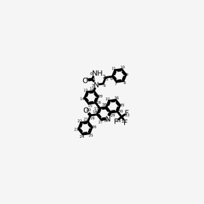 NC(=O)N(CCc1ccccc1)c1cccc(-c2c(C(=O)c3ccccc3)cnc3c(C(F)(F)F)cccc23)c1